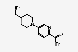 CC(C)CC1CCN(c2ccc(C(=O)C(C)C)nc2)CC1